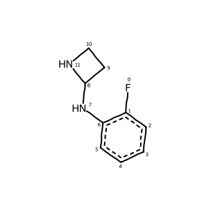 Fc1ccccc1NC1CCN1